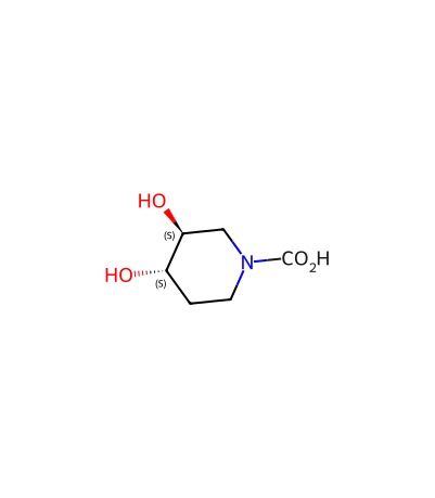 O=C(O)N1CC[C@H](O)[C@@H](O)C1